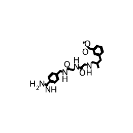 COC(=O)c1cccc(CC(C)CNCC(=O)NCC(=O)NCc2ccc(C(=N)N)cc2)c1